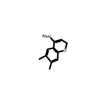 CNC1=CCOc2cc(C)c(C)cc21